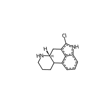 Clc1[nH]c2cccc3c2c1C[C@H]1NCCCC31